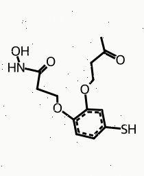 CC(=O)CCOc1cc(S)ccc1OCCC(=O)NO